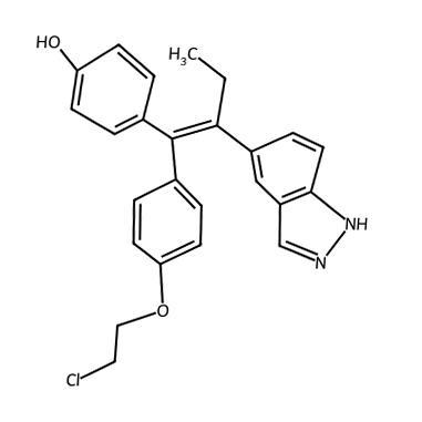 CCC(=C(c1ccc(O)cc1)c1ccc(OCCCl)cc1)c1ccc2[nH]ncc2c1